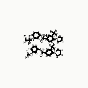 O=C(Nc1cccc(OC(F)(F)C(F)F)c1)c1ccc(N2CCCC2)c(C(F)(F)F)c1.O=C(Nc1cccc(OC(F)F)c1)c1ccc(N2CCCC2)c(C(F)(F)F)c1